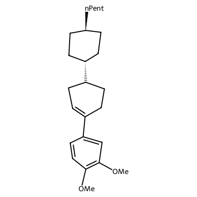 CCCCC[C@H]1CC[C@H](C2CC=C(c3ccc(OC)c(OC)c3)CC2)CC1